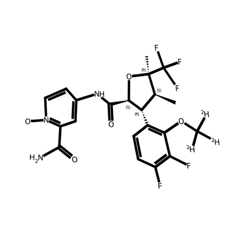 [2H]C([2H])([2H])Oc1c([C@@H]2[C@@H](C(=O)Nc3cc[n+]([O-])c(C(N)=O)c3)O[C@@](C)(C(F)(F)F)[C@H]2C)ccc(F)c1F